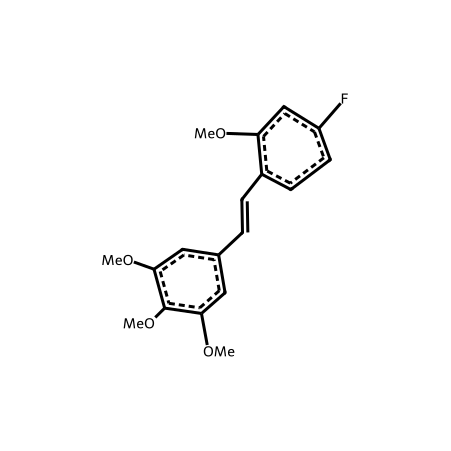 COc1cc(F)ccc1/C=C/c1cc(OC)c(OC)c(OC)c1